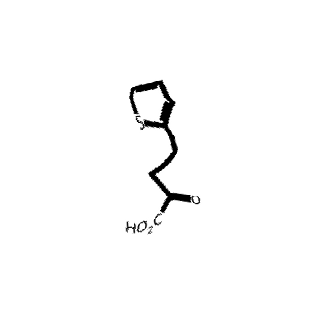 O=C(O)C(=O)CCc1cccs1